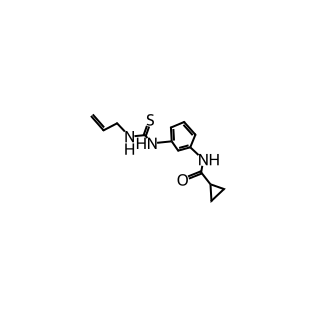 C=CCNC(=S)Nc1cccc(NC(=O)C2CC2)c1